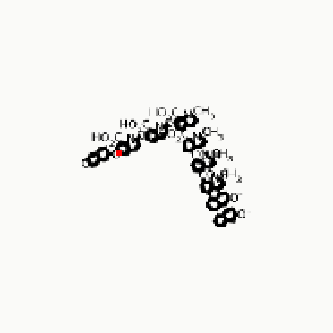 Cc1ccc2cccc(C(=O)O)c2n1.Cc1ccc2cccc(C(=O)O)c2n1.Cc1ccc2cccc(C(=O)O)c2n1.Cc1ccc2cccc(C(=O)O)c2n1.Cc1ccc2cccc(C(=O)O)c2n1.Cc1ccc2cccc(C(=O)O)c2n1.[Ga+3].[O-]c1ccc2ccccc2c1.[O-]c1ccc2ccccc2c1.[O-]c1ccc2ccccc2c1